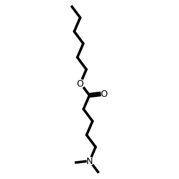 CCCCCCOC(=O)CCCCN(C)C